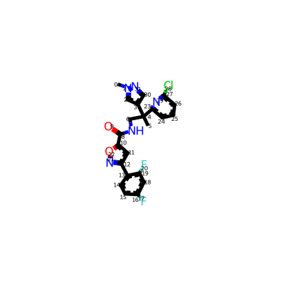 Cn1cc(C(C)(CNC(=O)c2cc(-c3ccc(F)cc3F)no2)c2cccc(Cl)n2)cn1